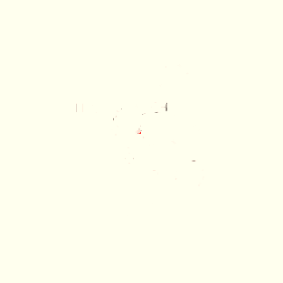 Cc1cc(C)c2c(-c3ccccc3P(c3ccccc3)c3ccccc3)c(P(c3ccccc3)c3ccccc3)oc2c1